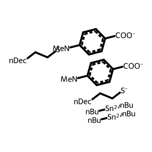 CCCCCCCCCCCC[S-].CCCCCCCCCCCC[S-].CCC[CH2][Sn+2][CH2]CCC.CCC[CH2][Sn+2][CH2]CCC.CNc1ccc(C(=O)[O-])cc1.CNc1ccc(C(=O)[O-])cc1